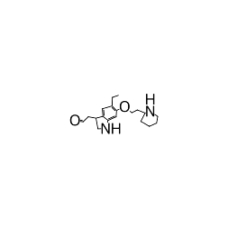 CCc1cc2c(cc1OCCC1CCCCN1)NCC2CC=O